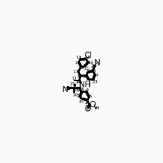 COC(=O)c1ccc([C@H](N[C@@H](C)C(Cc2ccc(Cl)cc2)c2cccc(C#N)c2)C(C)(C)C#N)cc1